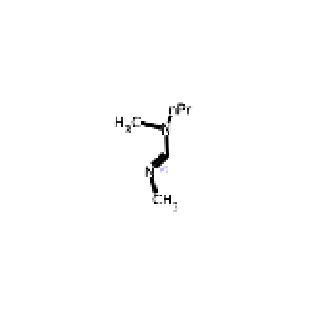 CCCN(C)/C=N/C